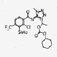 CSc1c(C(F)(F)F)ccc(C(=O)N=c2n(C)nnn2C(C)OC(=O)OC2CCCCC2)c1Cl